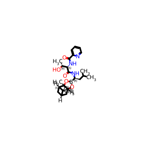 CC(C)C[C@H](NC(=O)[C@@H](NC(=O)c1ccccn1)[C@@H](C)O)B1O[C@@H]2C[C@@H]3C[C@@H](C3(C)C)[C@]2(C)O1